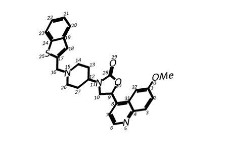 COc1ccc2nccc(C3CN(C4CCN(Cc5cc6ccccc6s5)CC4)C(=O)O3)c2c1